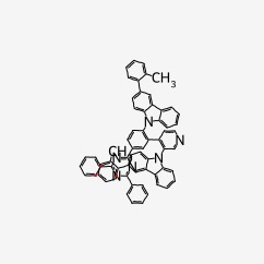 Cc1ccccc1-c1ccc2c(c1)c1ccccc1n2-c1ccc(-c2nc(-c3ccccc3)nc(-c3ccccc3)n2)cc1-c1ccncc1-n1c2ccccc2c2cc(-c3ccccc3C)ccc21